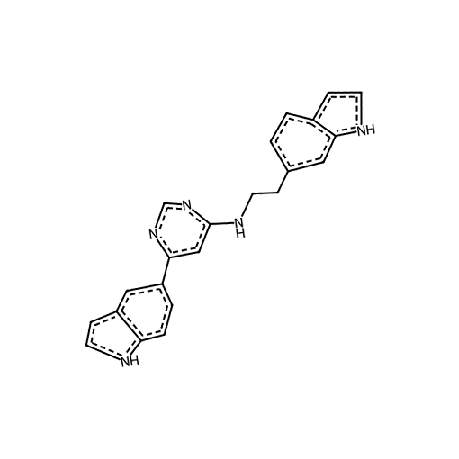 c1nc(NCCc2ccc3cc[nH]c3c2)cc(-c2ccc3[nH]ccc3c2)n1